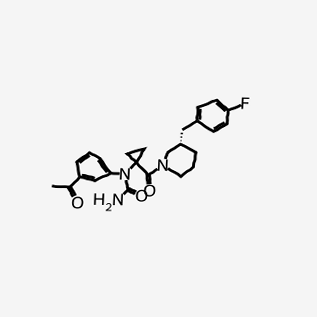 CC(=O)c1cccc(N(C(N)=O)C2(C(=O)N3CCC[C@@H](Cc4ccc(F)cc4)C3)CC2)c1